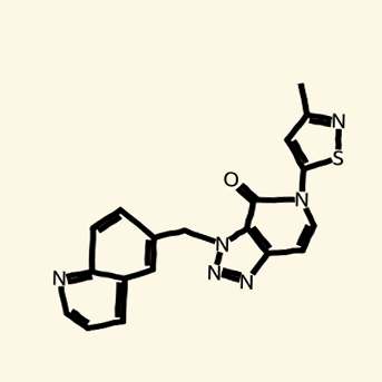 Cc1cc(-n2ccc3nnn(Cc4ccc5ncccc5c4)c3c2=O)sn1